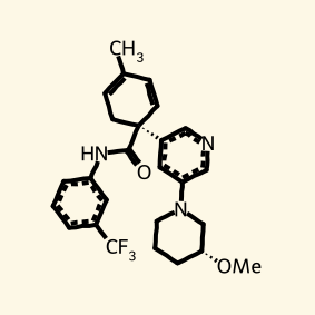 CO[C@@H]1CCCN(c2cncc([C@@]3(C(=O)Nc4cccc(C(F)(F)F)c4)C=CC(C)=CC3)c2)C1